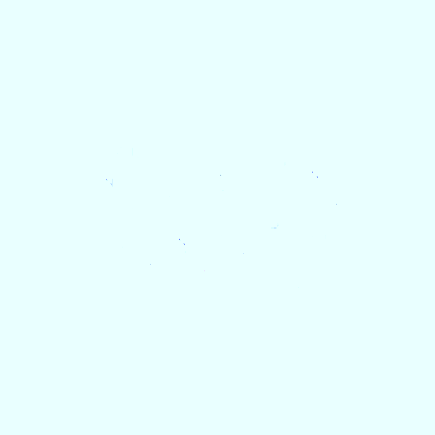 CNC1CCN(S(=O)(=O)c2cccc3cncc(F)c23)C1